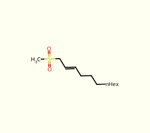 CCCCCCCCCC=CCS(C)(=O)=O